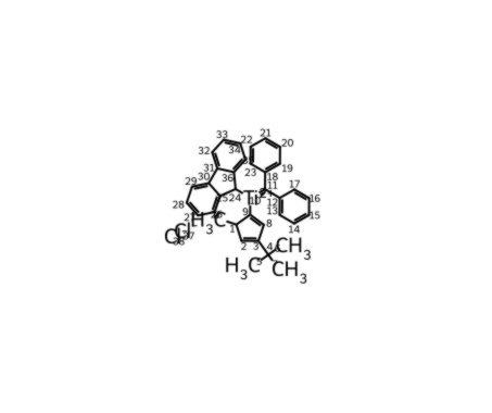 CC1C=C(C(C)(C)C)C=[C]1[Ti+2](=[C](c1ccccc1)c1ccccc1)[CH]1c2ccccc2-c2ccccc21.[Cl-].[Cl-]